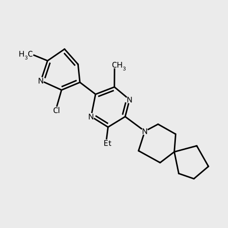 CCc1nc(-c2ccc(C)nc2Cl)c(C)nc1N1CCC2(CCCC2)CC1